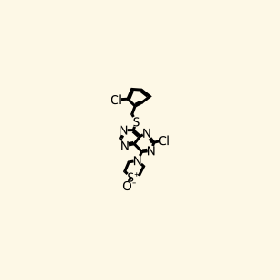 [O-][S+]1CCN(c2nc(Cl)nc3c(SCc4ccccc4Cl)ncnc23)CC1